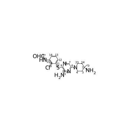 CC1(N)CCN(c2cnc(Sc3cccc(NC=O)c3Cl)c(N)n2)CC1